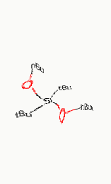 CCCCO[Si](OCCCC)(C(C)(C)C)C(C)(C)C